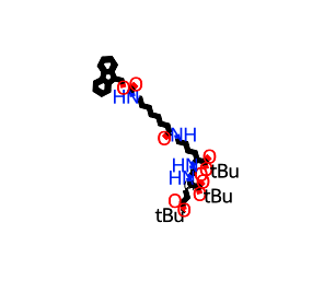 CC(C)(C)OC(=O)CC[C@H](NC(=O)NC(CCCCNC(=O)CCCCCCCNC(=O)OCC1c2ccccc2-c2ccccc21)C(=O)OC(C)(C)C)C(=O)OC(C)(C)C